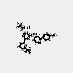 C/C(=N\c1nc(Nc2ccnc(-c3ccc(C#N)cc3)c2)nc(-c2cccc(C(F)(F)F)n2)n1)C(F)(F)F